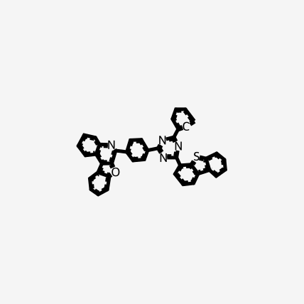 c1ccc(-c2nc(-c3ccc(-c4nc5ccccc5c5c4oc4ccccc45)cc3)nc(-c3cccc4c3sc3ccccc34)n2)cc1